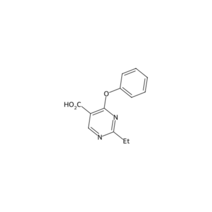 CCc1ncc(C(=O)O)c(Oc2ccccc2)n1